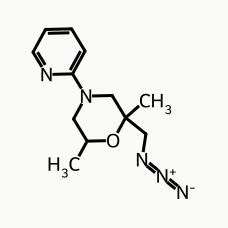 CC1CN(c2ccccn2)CC(C)(CN=[N+]=[N-])O1